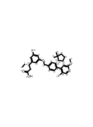 CC[C@@H](CC(=O)O)c1cc(F)cc(OCc2ccc(-c3cc(OC)ncc3F)c([C@H]3CCCC3(C)C)c2)c1